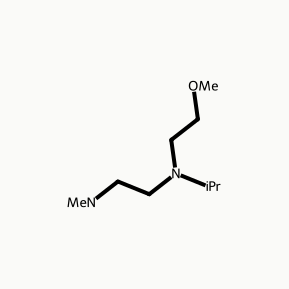 CNCCN(CCOC)C(C)C